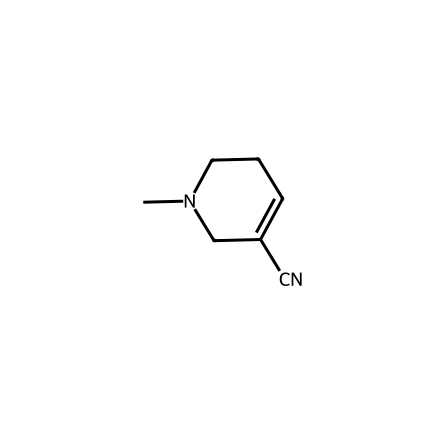 CN1CCC=C(C#N)C1